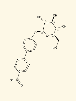 O=[N+]([O-])c1ccc(-c2ccc(O[C@@H]3O[C@H](CO)[C@@H](O)[C@H](O)[C@H]3O)cc2)cc1